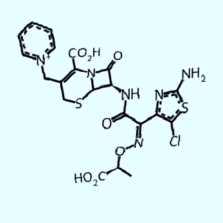 C[C@H](O/N=C(\C(=O)N[C@@H]1C(=O)N2C(C(=O)O)=C(C[n+]3ccccc3)CSC12)c1nc(N)sc1Cl)C(=O)O